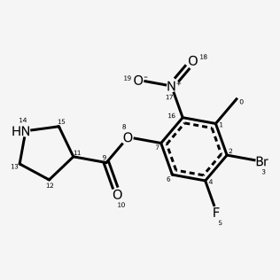 Cc1c(Br)c(F)cc(OC(=O)C2CCNC2)c1[N+](=O)[O-]